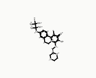 [2H]c1c(OC[C@@H]2COCCO2)n2c(c(C)c1=O)-c1ccc(OC([2H])([2H])C([2H])([2H])F)cc1CC2